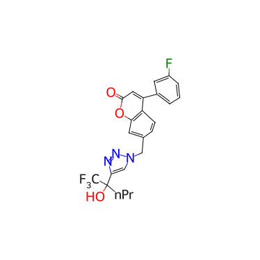 CCCC(O)(c1cn(Cc2ccc3c(-c4cccc(F)c4)cc(=O)oc3c2)nn1)C(F)(F)F